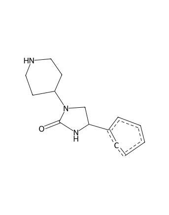 O=C1NC(c2ccccc2)CN1C1CCNCC1